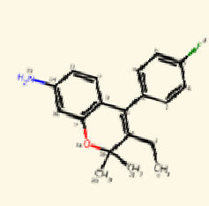 CCC1=C(c2ccc(F)cc2)c2ccc(N)cc2OC1(C)C